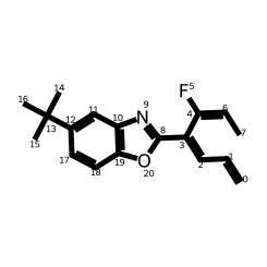 C=C/C=C(\C(F)=C/C)c1nc2cc(C(C)(C)C)ccc2o1